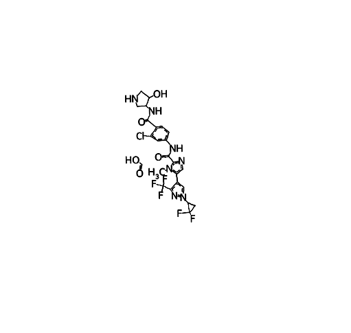 Cn1c(-c2cn(C3CC3(F)F)nc2C(F)(F)F)cnc1C(=O)Nc1ccc(C(=O)NC2CNCC2O)c(Cl)c1.O=CO